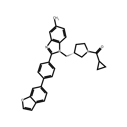 Cc1ccc2c(c1)nc(-c1ccc(-c3ccc4ccoc4c3)cc1)n2C[C@@H]1CCN(C(=O)C2CC2)C1